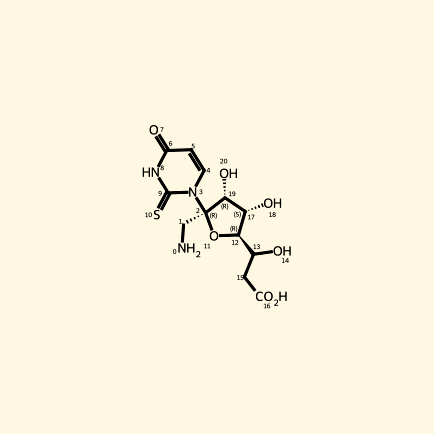 NC[C@@]1(n2ccc(=O)[nH]c2=S)O[C@H](C(O)CC(=O)O)[C@@H](O)[C@H]1O